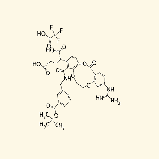 CC(C)(C)OC(=O)c1cccc(CNC(=O)c2c(C(CCC(=O)O)C(=O)O)ccc3c2OCCCc2cc(NC(=N)N)ccc2C(=O)O3)c1.O=C(O)C(F)(F)F